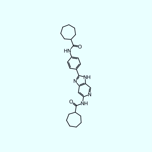 O=C(Nc1ccc(-c2nc3cc(NC(=O)C4CCCCCC4)ncc3[nH]2)cc1)C1CCCCCC1